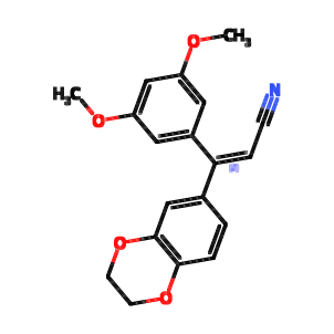 COc1cc(OC)cc(/C(=C\C#N)c2ccc3c(c2)OCCO3)c1